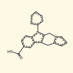 O=C(O)c1ccc2c(c1)c1c(n2-c2ccccc2)Cn2cccc2C1